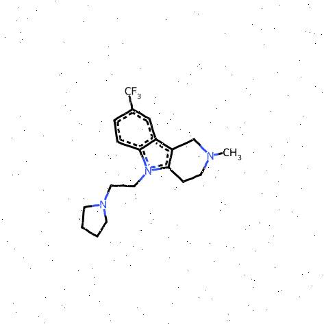 CN1CCc2c(c3cc(C(F)(F)F)ccc3n2CCN2CCCC2)C1